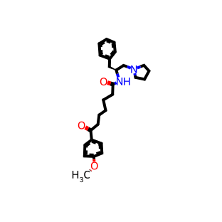 COc1ccc(C(=O)CCCCCC(=O)N[C@@H](Cc2ccccc2)CN2CCCC2)cc1